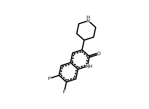 O=c1[nH]c2cc(F)c(F)cc2cc1C1CCNCC1